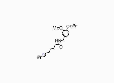 CCCOc1ccc(CNC(=O)CCCC/C=C/C(C)C)cc1OC